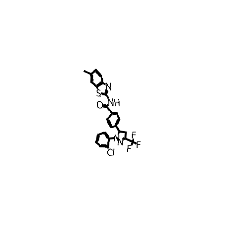 Cc1ccc2nc(NC(=O)c3ccc(C4CC(C(F)(F)F)=NN4c4ccccc4Cl)cc3)sc2c1